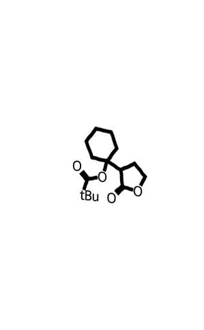 CC(C)(C)C(=O)OC1(C2CCOC2=O)CCCCC1